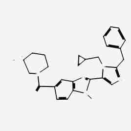 Cn1c(-c2cnc(Cc3ccccc3)n2CC2CC2)nc2cc(C(=O)N3CCC[C@@H](N)C3)ccc21